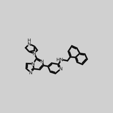 c1ccc2c(CNc3cc(-c4cc5nccn5c(N5CC6CC5CN6)n4)ccn3)cccc2c1